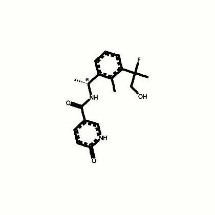 Cc1c([C@@H](C)NC(=O)c2ccc(=O)[nH]c2)cccc1C(C)(F)CO